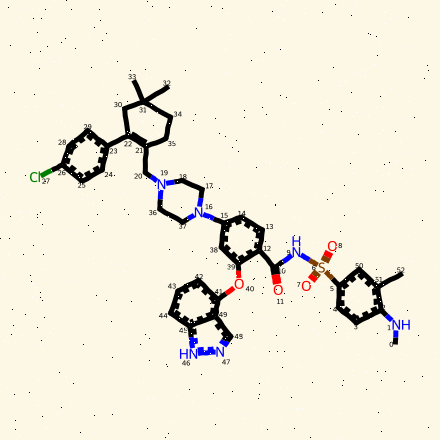 CNc1ccc(S(=O)(=O)NC(=O)c2ccc(N3CCN(CC4=C(c5ccc(Cl)cc5)CC(C)(C)CC4)CC3)cc2Oc2cccc3[nH]ncc23)cc1C